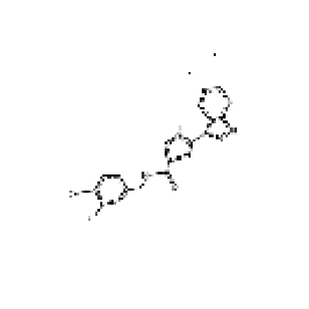 O=C(NCc1ccc(Cl)c(Cl)c1)c1c[nH]c(-c2n[nH]c3ncccc23)c1